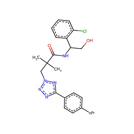 CCCc1ccc(-c2nnn(CC(C)(C)C(=O)NC(CO)c3ccccc3Cl)n2)cc1